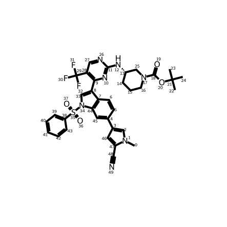 Cn1cc(-c2ccc3c(-c4nc(N[C@H]5CCCN(C(=O)OC(C)(C)C)C5)ncc4C(F)(F)F)cn(S(=O)(=O)c4ccccc4)c3c2)cc1C#N